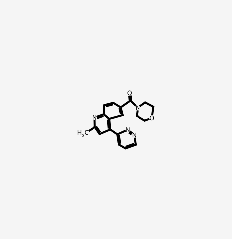 Cc1cc(-c2cccnn2)c2cc(C(=O)N3CCOCC3)ccc2n1